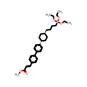 CCO[Si](CCCC[C@H]1CC[C@H](c2ccc(-c3ccc(/C=C/C(=O)OC)cc3)cc2)CC1)(OCC)OCC